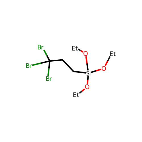 CCO[Si](CCC(Br)(Br)Br)(OCC)OCC